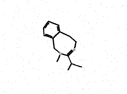 CC(C)/C1=N/CCc2ccccc2CN1C